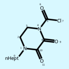 CCCCCCCN1CCN(C(=O)Cl)C(=O)C1=O